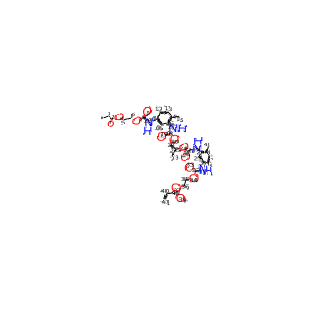 C=CC(=O)OCCOC(=O)Nc1ccc(C)c(NC(=O)OCC(C)OC(=O)Nc2cc(NC(=O)OCCOC(=O)C=C)ccc2C)c1